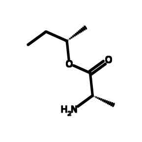 CC[C@H](C)OC(=O)[C@H](C)N